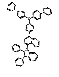 c1ccc(-c2ccc(N(c3ccc(-c4ccccc4)cc3)c3ccc(-c4ccc(-n5c(-c6ccccc6)c(-c6ccccc6)c6ccccc65)c5ccccc45)cc3)cc2)cc1